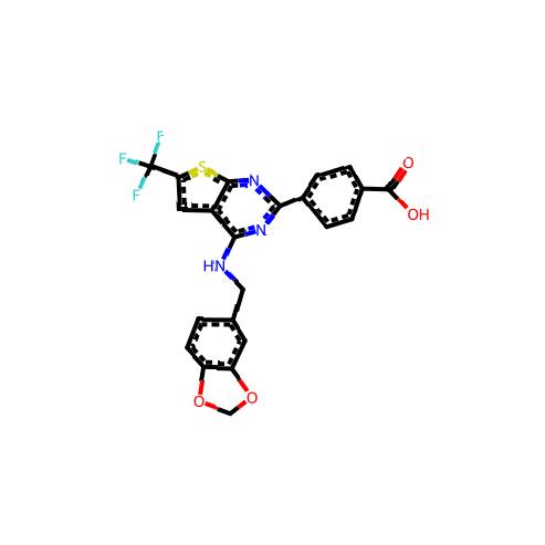 O=C(O)c1ccc(-c2nc(NCc3ccc4c(c3)OCO4)c3cc(C(F)(F)F)sc3n2)cc1